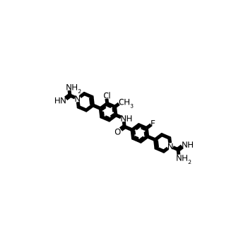 Cc1c(NC(=O)c2ccc(C3=CCN(C(=N)N)CC3)c(F)c2)ccc(C2=CCN(C(=N)N)CC2)c1Cl